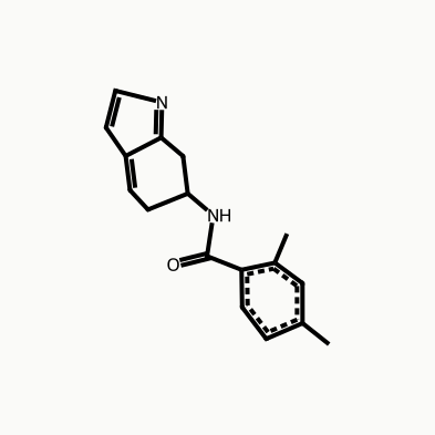 Cc1ccc(C(=O)NC2CC=C3C=CN=C3C2)c(C)c1